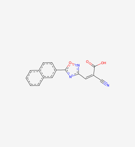 N#C/C(=C/c1noc(-c2ccc3ccccc3c2)n1)C(=O)O